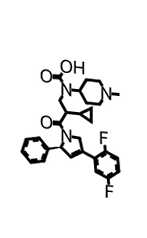 CN1CCC(N(CC(C(=O)N2CC(c3cc(F)ccc3F)=C[C@H]2c2ccccc2)C2CC2)C(=O)O)CC1